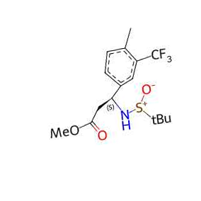 COC(=O)C[C@H](N[S+]([O-])C(C)(C)C)c1ccc(C)c(C(F)(F)F)c1